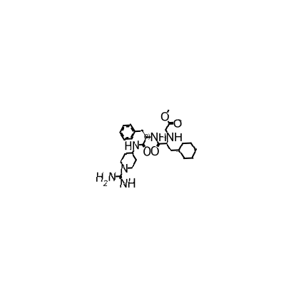 COC(=O)CNC(CC1CCCCC1)C(=O)N[C@H](Cc1ccccc1)C(=O)NC1CCN(C(=N)N)CC1